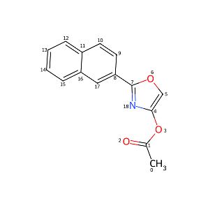 CC(=O)Oc1coc(-c2ccc3ccccc3c2)n1